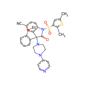 CCOc1ccccc1C1(N2CCN(c3ccncc3)CC2)C(=O)N(S(=O)(=O)c2cc(C)sc2C)c2ccc(C#N)cc21